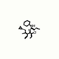 C=CC(=C(C)CC1CC1)C(=N/C(=C/CC)NC1CCCCC1)/C(Cl)=C\C